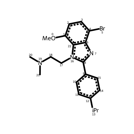 COc1ccc(Br)c2nc(-c3ccc(C(C)C)cc3)n(CCN(C)C)c12